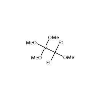 CCC(CC)(OC)[Si](OC)(OC)OC